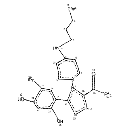 COCCCNc1ccc(-n2c(C(N)=O)nnc2-c2cc(C(C)C)c(O)cc2O)cc1